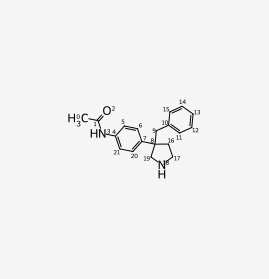 CC(=O)Nc1ccc(C2(Cc3ccccc3)CCNC2)cc1